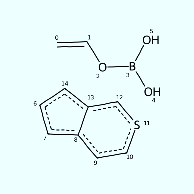 C=COB(O)O.c1cc2ccscc-2c1